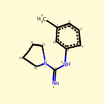 Cc1cccc(NC(=N)N2CCCC2)c1